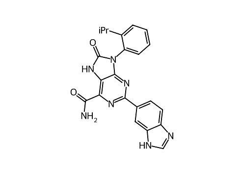 CC(C)c1ccccc1-n1c(=O)[nH]c2c(C(N)=O)nc(-c3ccc4nc[nH]c4c3)nc21